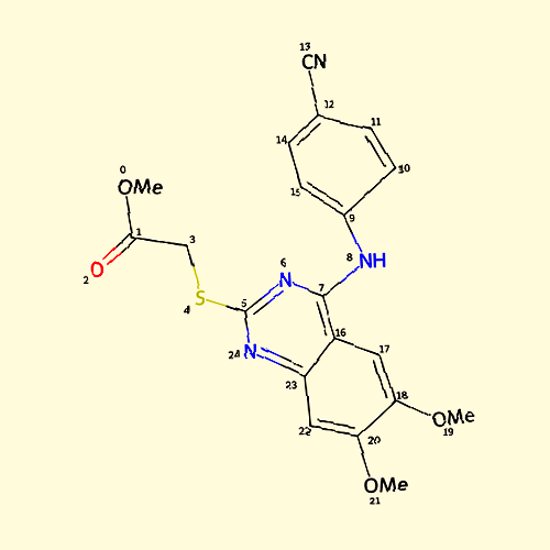 COC(=O)CSc1nc(Nc2ccc(C#N)cc2)c2cc(OC)c(OC)cc2n1